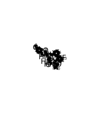 COc1ccc(N(C)C(=O)[C@H](CCc2ccccc2)NC(=O)NS(=O)(=O)N[C@@H](Cc2ccc(F)cc2)C(=O)N(C)C)cc1